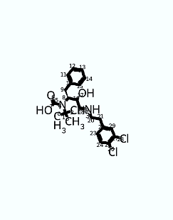 CC(C)(C)N(C(=O)O)[C@@H](Cc1ccccc1)[C@@H](O)CNCCc1ccc(Cl)c(Cl)c1